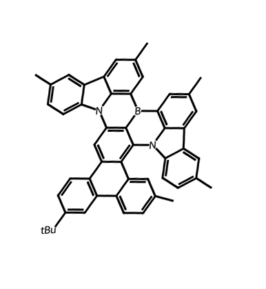 Cc1ccc2c3cc(C(C)(C)C)ccc3c3cc4c5c(c3c2c1)-n1c2ccc(C)cc2c2cc(C)cc(c21)B5c1cc(C)cc2c3cc(C)ccc3n-4c12